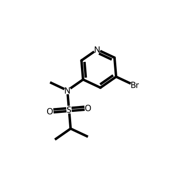 CC(C)S(=O)(=O)N(C)c1cncc(Br)c1